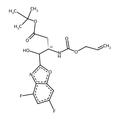 C=CCOC(=O)N[C@@H](CC(=O)OC(C)(C)C)C(O)c1nc2c(F)cc(F)cc2o1